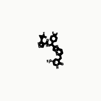 O=C(NC(c1cn2nc(CC3C[C@@H](C(F)(F)F)CNC3=O)ccc2n1)C1CCC(F)(F)CC1)c1conc1C1CC1(F)F